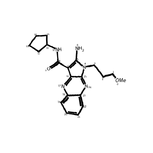 COCCCn1c(N)c(C(=O)NC2CCCC2)c2nc3ccccc3nc21